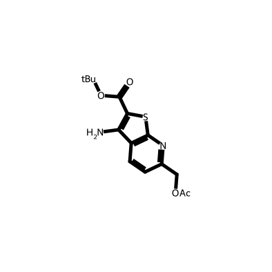 CC(=O)OCc1ccc2c(N)c(C(=O)OC(C)(C)C)sc2n1